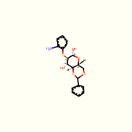 Nc1ccccc1O[C@@H]1[C@@H](O)[C@@H]2OC(c3ccccc3)OC[C@H]2O[C@H]1O